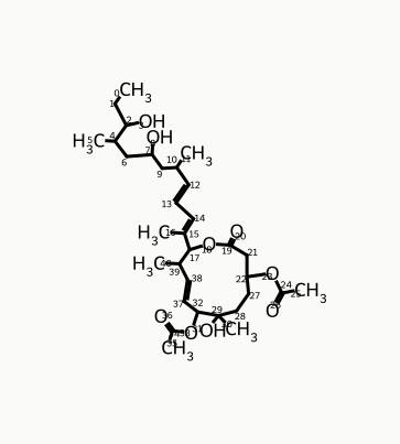 CCC(O)C(C)CC(O)CC(C)/C=C/C=C(\C)C1OC(=O)CC(OC(C)=O)CCC(C)(O)C(OC(C)=O)/C=C/C1C